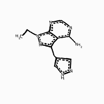 [CH2]Cn1nc(-c2cn[nH]c2)c2c(N)ncnc21